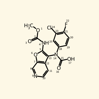 COC(=O)Nc1oc2cnccc2c1N(C(=O)O)c1ccc(F)c(Cl)c1